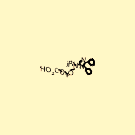 CC(C)N(CCO[C@@H](C)COCC(=O)O)c1cnc(-c2ccccc2)c(-c2ccccc2)n1